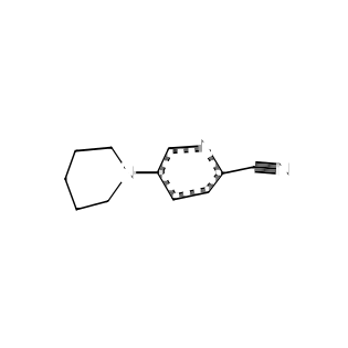 N#Cc1ccc(N2CC[CH]CC2)cn1